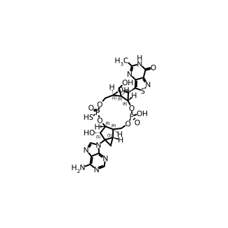 Cc1nc2c([C@@H]3O[C@@H]4CO[P@](=O)(S)O[C@@H]5[C@@H](COP(=O)(O)O[C@@H]3[C@@H]4CO)[C@@H]3CC3(n3cnc4c(N)ncnc43)[C@@H]5O)snc2c(=O)[nH]1